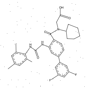 Cc1cc(C)c(NC(=O)Nc2cc(-c3cc(F)cc(F)c3)ccc2C(=O)N(CC(=O)O)C2CCCCC2)c(C)c1